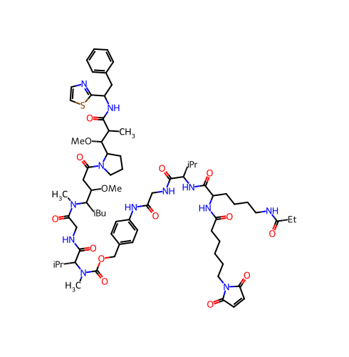 CCC(=O)NCCCCC(NC(=O)CCCCCN1C(=O)C=CC1=O)C(=O)NC(C(=O)NCC(=O)Nc1ccc(COC(=O)N(C)C(C(=O)NCC(=O)N(C)C(C(C)CC)C(CC(=O)N2CCCC2C(OC)C(C)C(=O)NC(Cc2ccccc2)c2nccs2)OC)C(C)C)cc1)C(C)C